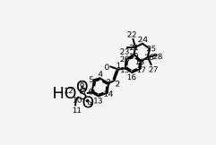 CC(=Cc1ccc(S(=O)(=O)C(C)O)cc1)c1ccc2c(c1)C(C)(C)CCC2(C)C